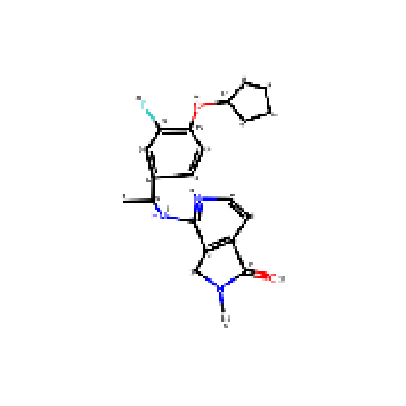 CCN1Cc2c(ccnc2NC(C)c2ccc(OC3CCCC3)c(F)c2)C1=O